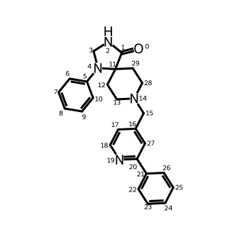 O=C1NCN(c2ccccc2)C12CCN(Cc1ccnc(-c3ccccc3)c1)CC2